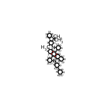 Cc1ccccc1N(c1ccc2c(c1)C(C)(C)c1ccccc1-2)c1ccccc1-c1ccc(-c2ccccc2N(c2ccc(-c3ccccc3)cc2)c2cccc3ccccc23)cc1